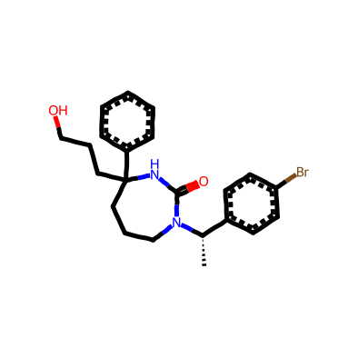 C[C@@H](c1ccc(Br)cc1)N1CCCC(CCCO)(c2ccccc2)NC1=O